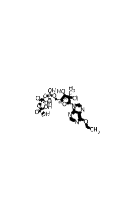 CCOc1ncnc2c1ncn2[C@@H]1O[C@H](COP(=O)(O)OP(=O)(O)OP(=O)(O)O)[C@@H](O)[C@@]1(C)Cl